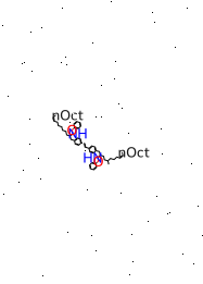 CCCCCCCC/C=C\CCCCCCC(Cc1ccc(C=Cc2ccc(CC(CCC(C)CCC/C=C\CCCCCCCC)NOc3ccccc3)cc2)cc1)NOc1ccccc1